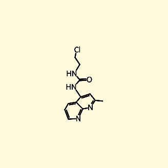 Cc1cc(NC(=O)NCCCl)c2cccnc2n1